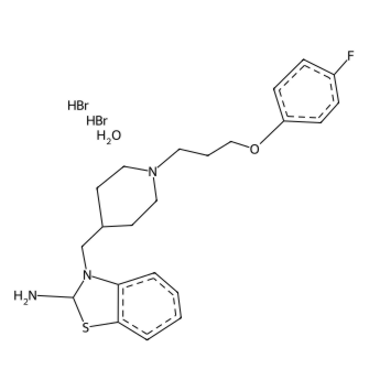 Br.Br.NC1Sc2ccccc2N1CC1CCN(CCCOc2ccc(F)cc2)CC1.O